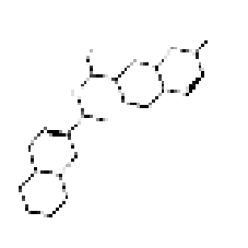 CNC(NC(N)C1=CCC2CCCCC2C1)C1CCC2C=CC(C)CC2C1